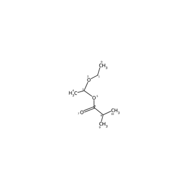 CCOC(C)OC(=O)C(C)C